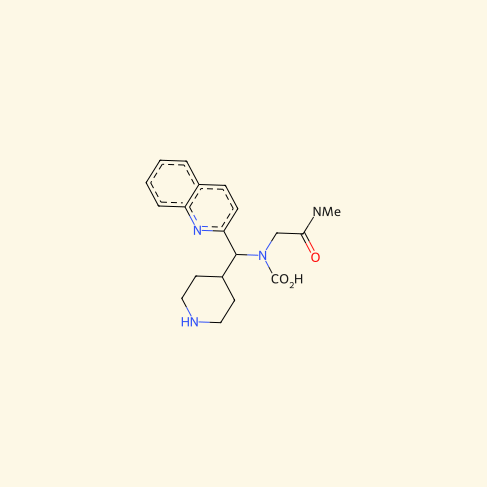 CNC(=O)CN(C(=O)O)C(c1ccc2ccccc2n1)C1CCNCC1